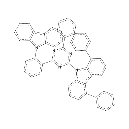 c1ccc(-c2nc(-c3ccccc3-n3c4ccccc4c4ccccc43)nc(-n3c4cccc(-c5ccccc5)c4c4cccc(-c5ccccc5)c43)n2)cc1